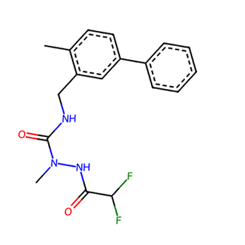 Cc1ccc(-c2ccccc2)cc1CNC(=O)N(C)NC(=O)C(F)F